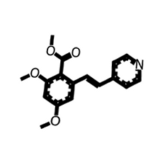 COC(=O)c1c(C=Cc2ccncc2)cc(OC)cc1OC